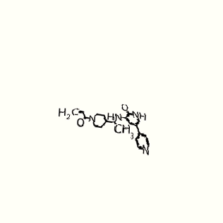 C=CC(=O)N1CCC(C(C)Nc2cc(-c3ccncc3)c[nH]c2=O)CC1